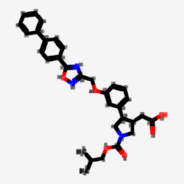 CC(C)COC(=O)N1C[C@H](CC(=O)O)[C@H](c2cccc(OCc3noc(-c4ccc(-c5ccccc5)cc4)n3)c2)C1